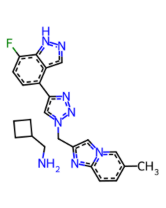 Cc1ccc2nc(Cn3cc(-c4ccc(F)c5[nH]ncc45)nn3)cn2c1.NCC1CCC1